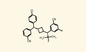 CC(C)(F)[C@H](c1cc(F)cc(C#N)c1)C1CN([C@H](c2ccc(Cl)cc2)c2cccc(C#N)c2)C1